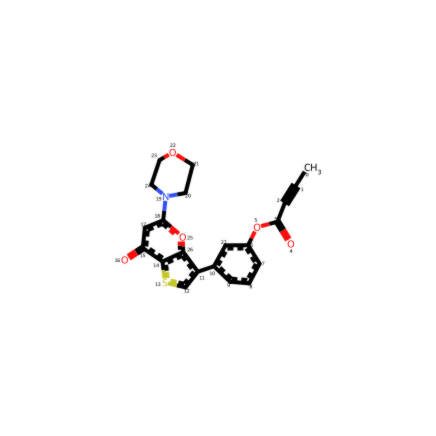 CC#CC(=O)Oc1cccc(-c2csc3c(=O)cc(N4CCOCC4)oc23)c1